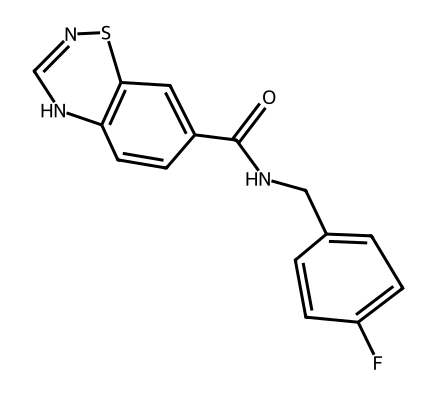 O=C(NCc1ccc(F)cc1)c1ccc2c(c1)SN=CN2